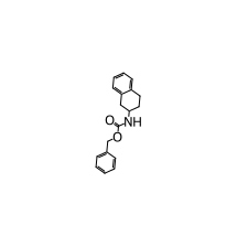 O=C(NC1CCc2ccccc2C1)OCc1ccccc1